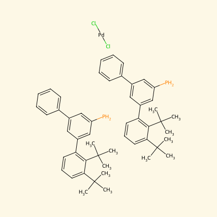 CC(C)(C)c1cccc(-c2cc(P)cc(-c3ccccc3)c2)c1C(C)(C)C.CC(C)(C)c1cccc(-c2cc(P)cc(-c3ccccc3)c2)c1C(C)(C)C.[Cl][Pd][Cl]